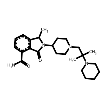 CC1c2cccc(C(N)=O)c2C(=O)N1C1CCN(CC(C)(C)N2CCCCC2)CC1